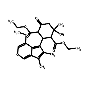 CCOC(=O)C1C(=O)CC(C)(O)C(C(=O)OCC)C1c1c(C)c(C)c2cocc(OC)c1-2